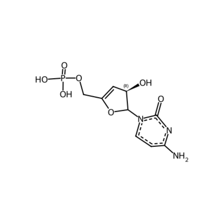 Nc1ccn(C2OC(COP(=O)(O)O)=C[C@H]2O)c(=O)n1